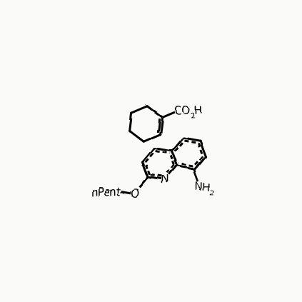 CCCCCOc1ccc2cccc(N)c2n1.O=C(O)C1=CCCCC1